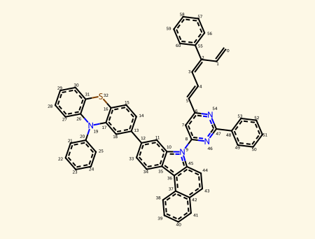 C=C/C(=C\C=C\c1cc(-n2c3cc(-c4ccc5c(c4)N(c4ccccc4)c4ccccc4S5)ccc3c3c4ccccc4ccc32)nc(-c2ccccc2)n1)c1ccccc1